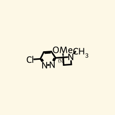 CO[C@]1(c2ccc(Cl)nn2)CCN1C